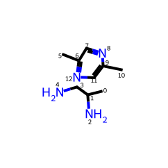 CC(N)CN.Cc1cnc(C)cn1